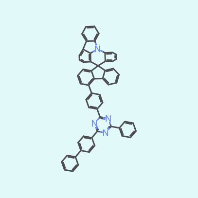 c1ccc(-c2ccc(-c3nc(-c4ccccc4)nc(-c4ccc(-c5cccc6c5-c5ccccc5C65c6ccccc6-n6c7ccccc7c7cccc5c76)cc4)n3)cc2)cc1